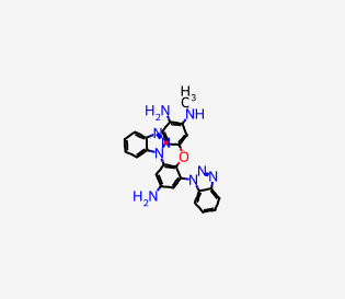 CNc1cc(Oc2c(-n3nnc4ccccc43)cc(N)cc2-n2nnc3ccccc32)ccc1N